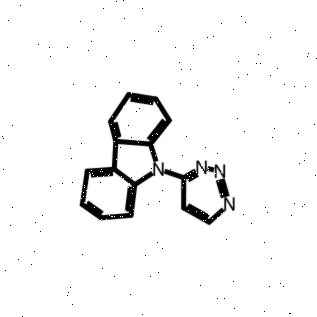 c1ccc2c(c1)c1ccccc1n2-c1ccnnn1